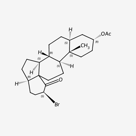 CC(=O)O[C@@H]1CC[C@@]2(C)[C@@H](CC[C@H]3[C@@H]4CC[C@@H]5CC[C@H](Br)C(=O)C54CC[C@@H]32)C1